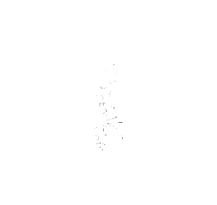 C=CCn1c(=O)c2cnc(Nc3ccc([C@H]4CC[C@H](N5CCC5)CC4)cc3)nc2n1-c1cccc(C(C)(C)O)n1